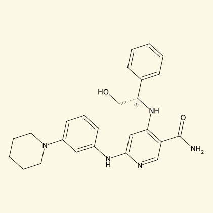 NC(=O)c1cnc(Nc2cccc(N3CCCCC3)c2)cc1N[C@H](CO)c1ccccc1